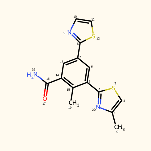 Cc1csc(-c2cc(-c3nccs3)cc(C(N)=O)c2C)n1